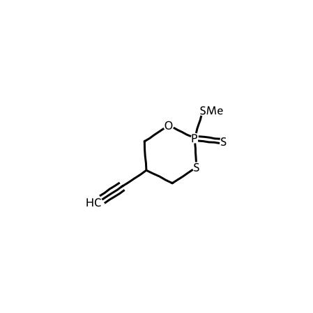 C#CC1COP(=S)(SC)SC1